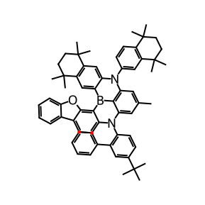 Cc1cc2c3c(c1)N(c1ccc(C(C)(C)C)cc1-c1ccccc1)c1ccc4c(oc5ccccc54)c1B3c1cc3c(cc1N2c1ccc2c(c1)C(C)(C)CCC2(C)C)C(C)(C)CCC3(C)C